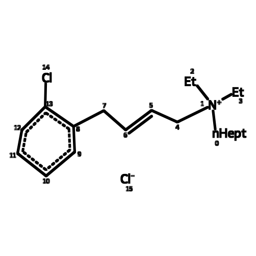 CCCCCCC[N+](CC)(CC)C/C=C/Cc1ccccc1Cl.[Cl-]